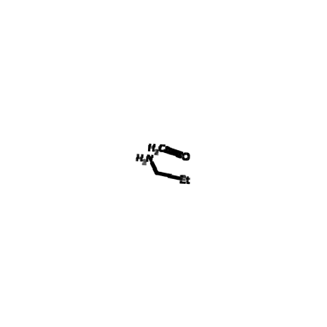 C=O.CCCN